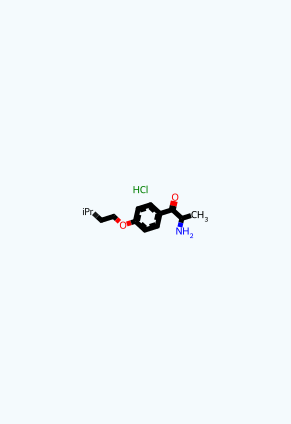 CC(C)CCOc1ccc(C(=O)C(C)N)cc1.Cl